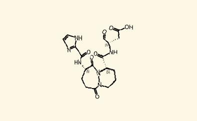 O=C[C@H](CC(=O)O)NC(=O)[C@@H]1CCCN2C(=O)CC[C@H](NC(=O)c3ncc[nH]3)C(=O)N12